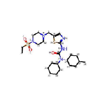 CCS(=O)(=O)N1CCN(Cc2cnc(NC(=O)N(C3CCCCC3)[C@H]3CC[C@H](C)CC3)s2)CC1